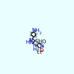 CCOc1cc(Nc2[nH]nc(-c3ccc(N)cc3)c2C=O)ccn1